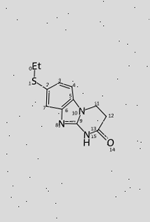 CCSc1ccc2c(c1)nc1n2CCC(=O)N1